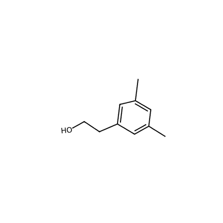 Cc1cc(C)cc(CCO)c1